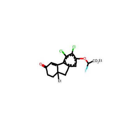 CCOC(=O)C(F)Oc1cc2c(c(Cl)c1Cl)C1=CC(=O)CCC1(CC)C2